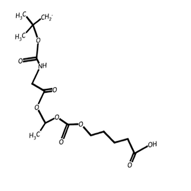 [CH2]C(C)(C)OC(=O)NCC(=O)OC(C)OC(=O)OCCCCC(=O)O